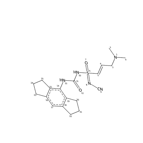 CN(C)C/C=C/S(=O)(=NC#N)NC(=O)Nc1c2c(cc3c1CCC3)CCC2